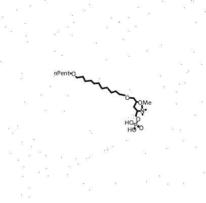 CCCCCOCCCCCCCCCCCCOCC(CC(COP(=O)(O)O)[N+](C)(C)C)OC